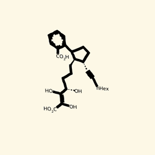 CCCCCCC#C[C@H]1CCC(c2ccccc2C(=O)O)[C@@H]1CCC[C@H](O)C(O)=C(O)C(=O)O